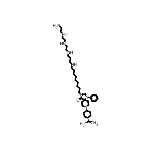 CC(C)[C@H]1CC[C@@H](N2CCC3(CC2)C(=O)N(CCCCCCCCCNCCCNCCNCCNCCN)CN3c2ccccc2)CC1